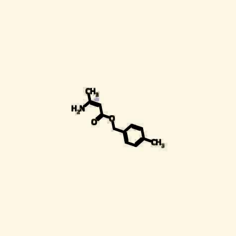 C/C(N)=C/C(=O)OCc1ccc(C)cc1